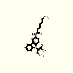 CCCCCCC(=O)N[C@H]1CCc2c(c3ccccc3n2C(CC)C(=O)O)C1